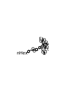 C=C(C)C(=O)OCCCc1cc(-c2ccc(OC(=O)CCc3ccc(CCCCCC)cc3)cc2)ccc1OCC(COC(=O)C(=C)C)(COC(=O)C(=O)CC)COC(=O)C(=O)CC